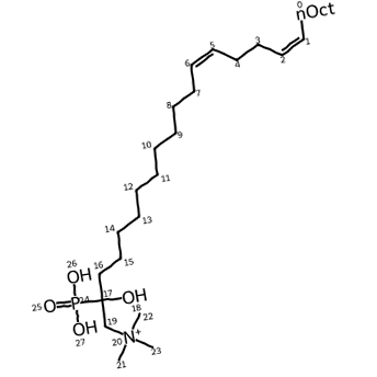 CCCCCCCC/C=C\CC/C=C\CCCCCCCCCCC(O)(C[N+](C)(C)C)P(=O)(O)O